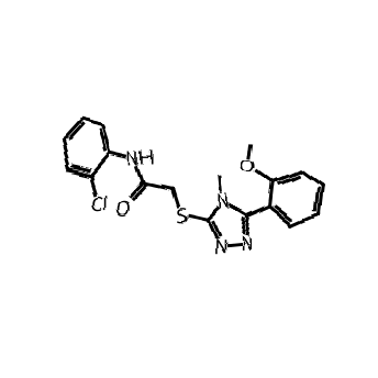 COc1ccccc1-c1nnc(SCC(=O)Nc2ccccc2Cl)n1C